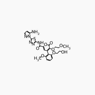 COCCOc1c(-c2c(OC)cccc2OCCO)cc(C(=O)Nc2nnc(-n3nccc3N)s2)oc1=O